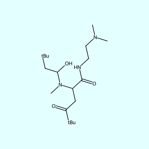 CN(C)CCNC(=O)C(CC(=O)C(C)(C)C)N(C)C(O)CC(C)(C)C